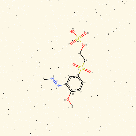 C/N=N/c1cc(S(=O)(=O)CCOS(=O)(=O)O)ccc1OC